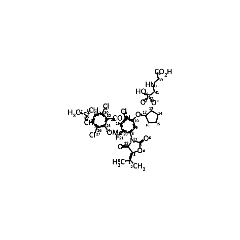 CC(C)=C1OC(=O)N(c2cc(OC3CCCC3)c(Cl)cc2F)C1=O.COc1c(Cl)ccc(Cl)c1C(=O)O.C[S+](C)C.O=C(O)CNCP(=O)([O-])O